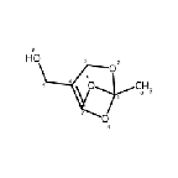 CC12OCC(CO)=C(O1)O2